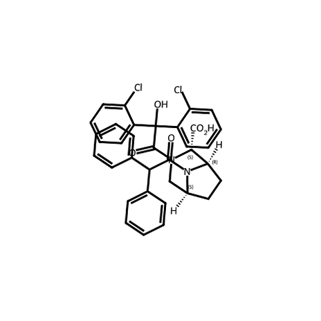 O=C(O)[C@@H]1[C@H]2CC[C@@H](CN1C(=O)C(O)(c1ccccc1Cl)c1ccccc1Cl)N2C(=O)C(c1ccccc1)c1ccccc1